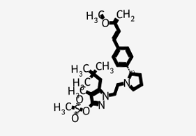 C=C(C=Cc1ccc([C@@H]2CCCN2CCn2nc(OS(C)(=O)=O)c(C)c2CC(C)(C)C)cc1)OC